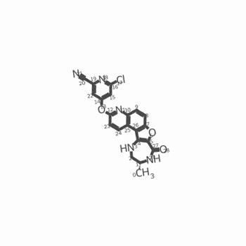 C[C@@H]1CNc2c(oc3ccc4nc(Oc5cc(Cl)nc(C#N)c5)ccc4c23)C(=O)N1